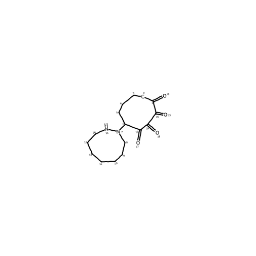 O=C1CCCCC(N2CCCCCCCN2)C(=O)C(=O)C1=O